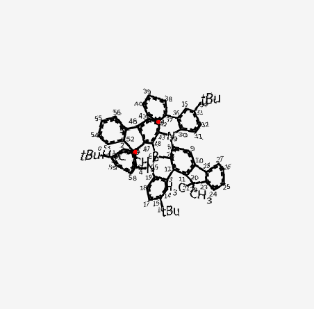 CC(C)(C)c1ccc(N2B3c4c(cc5c(c4-c4cc(C(C)(C)C)ccc42)C(C)(C)c2ccccc2-5)N(c2ccc(C(C)(C)C)cc2-c2ccccc2)c2ccc4c(c23)C(C)(C)c2ccccc2-4)cc1